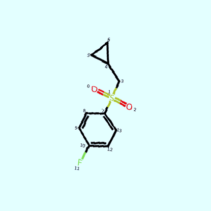 O=S(=O)(CC1CC1)c1ccc(F)cc1